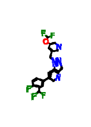 Fc1ccc(-c2cnc3cnn(Cc4cncc(OC(F)F)c4)c3c2)cc1C(F)F